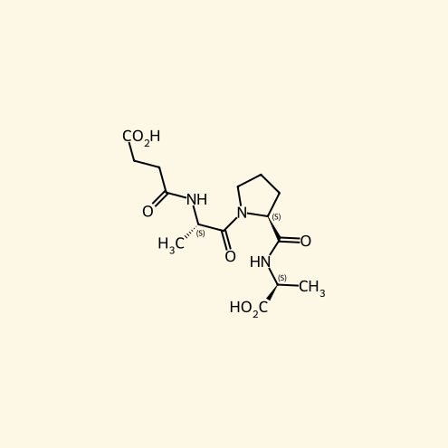 C[C@H](NC(=O)[C@@H]1CCCN1C(=O)[C@H](C)NC(=O)CCC(=O)O)C(=O)O